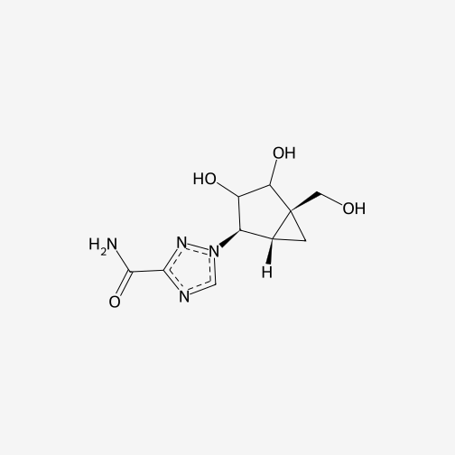 NC(=O)c1ncn([C@H]2C(O)C(O)[C@]3(CO)C[C@H]23)n1